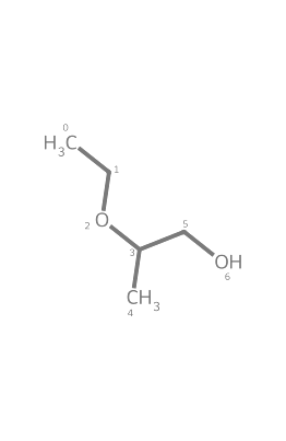 CCOC(C)CO